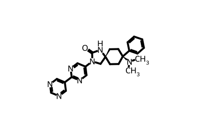 CN(C)[C@]1(c2ccccc2)CC[C@@]2(CC1)CN(c1cnc(-c3cncnc3)nc1)C(=O)N2